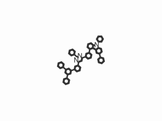 c1ccc(-c2cc(-c3ccccc3)cc(-c3cccc(-c4cc(-c5cccc(-c6cccc7c6c6cc(-c8ccccc8)ccc6n7-c6ccccc6)c5)nc(-c5ccccc5)n4)c3)c2)cc1